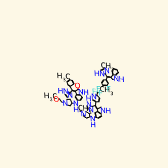 CCN1CCC(Nc2ccc3c(c2)C(=C(c2ccc(C(F)(F)F)nc2)c2ncc[nH]2)CN3)CC1.COCCN1CCC(Nc2ccc3c(c2)C(=C(c2ccc(C)cc2)c2ncc[nH]2)C(=O)N3)CC1.Cc1c[nH]c(C(=C2CNc3ccccc32)c2ccc(C)c(F)c2)n1